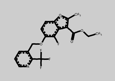 CCOC(=O)c1c(C)oc2ccc(OCc3cccnc3C(F)(F)F)c(F)c12